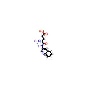 N[C@@H](CCC(=O)O)C(=O)Nc1cnc2ccccc2c1